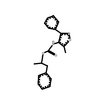 Cc1onc(-c2ccccc2)c1NC(=O)OC(C)Cc1ccccc1